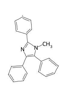 Cn1c(-c2cc[c]cc2)nc(-c2ccccc2)c1-c1ccccc1